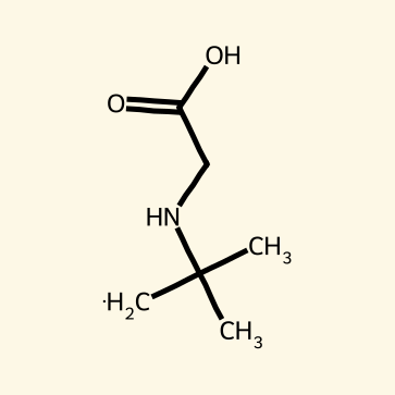 [CH2]C(C)(C)NCC(=O)O